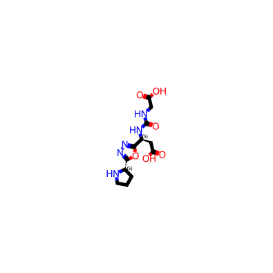 O=C(O)CNC(=O)N[C@@H](CC(=O)O)c1nnc([C@@H]2CCCN2)o1